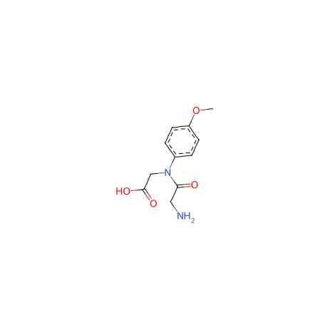 COc1ccc(N(CC(=O)O)C(=O)CN)cc1